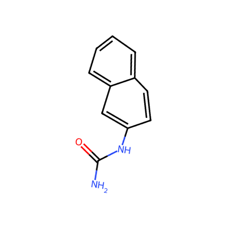 NC(=O)Nc1ccc2ccccc2c1